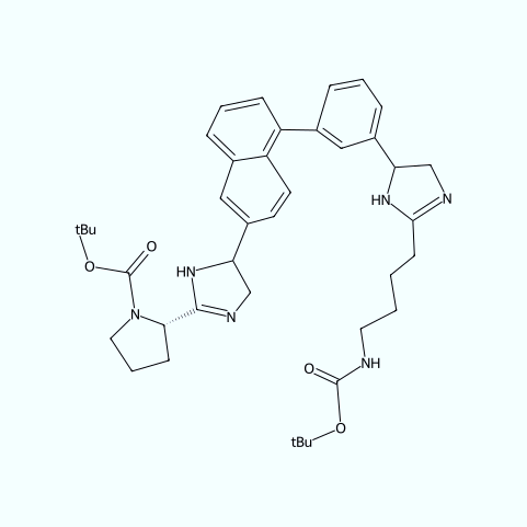 CC(C)(C)OC(=O)NCCCCC1=NCC(c2cccc(-c3cccc4cc(C5CN=C([C@@H]6CCCN6C(=O)OC(C)(C)C)N5)ccc34)c2)N1